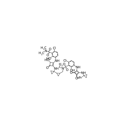 CCCC1(Nc2c(Nc3ccc(Cl)c(S(=O)(=O)N(C)CC4CC4C4(NC5=C(Nc6ccc(Cl)c(S(=O)(=O)N(C)C)c6O)C(O)C5=O)CC4)c3O)c(=O)c2=O)CC1